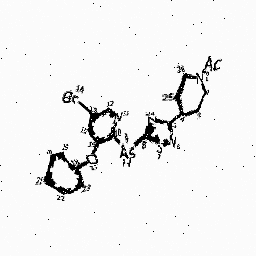 CC(=O)N1CCC(c2nsc([AsH]c3ncc(Br)cc3Oc3ccccc3)n2)CC1